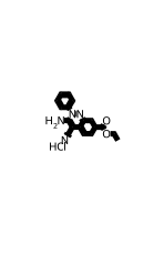 CCOC(=O)C1CC=C2C(=NN(c3ccccc3)C(N)=C2C#N)C1.Cl